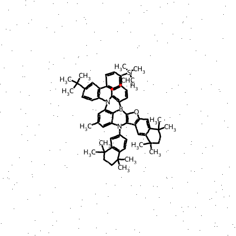 Cc1ccc2c(c1)N(c1ccc(C(C)(C)C)cc1-c1ccc([Si](C)(C)C)cc1)c1cc(C)cc3c1B2c1oc2cc4c(cc2c1N3c1ccc2c(c1)C(C)(C)CCC2(C)C)C(C)(C)CCC4(C)C